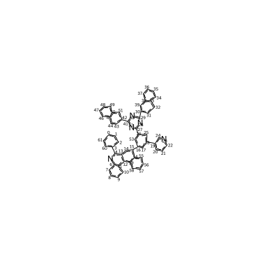 c1ccc(-c2nc3ccccc3c3c2cc(-c2cc(-c4cccnc4)cc(-c4nc(-c5ccc6ccccc6c5)nc(-c5ccc6ccccc6c5)n4)c2)c2ccccc23)cc1